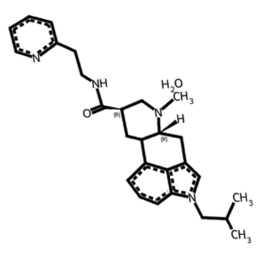 CC(C)Cn1cc2c3c(cccc31)C1C[C@@H](C(=O)NCCc3ccccn3)CN(C)[C@@H]1C2.O